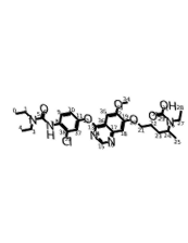 CCN(CC)C(=O)Nc1ccc(Oc2ncnc3cc(OCCCC(C)N(CC)C(=O)O)c(OC)cc23)cc1Cl